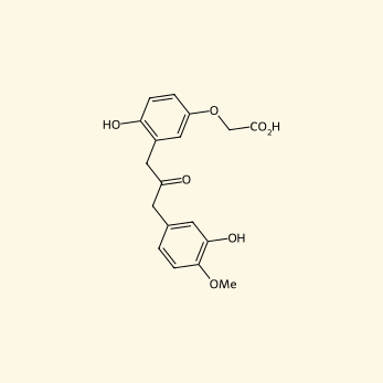 COc1ccc(CC(=O)Cc2cc(OCC(=O)O)ccc2O)cc1O